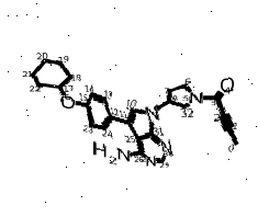 CC#CC(=O)N1CCC(n2cc(-c3ccc(OC4CCCCC4)cc3)c3c(N)ncnc32)C1